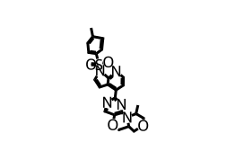 Cc1ccc(S(=O)(=O)n2ccc3c(-c4ncc5c(n4)N4C(C)COCC4CO5)ccnc32)cc1